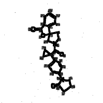 O=C1OC2(CCN(C(=O)C3(c4ccc(N5CCCC5=O)cc4)CC3)C2)c2ccccc21